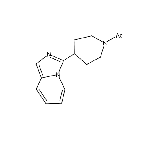 CC(=O)N1CCC(c2ncc3ccccn23)CC1